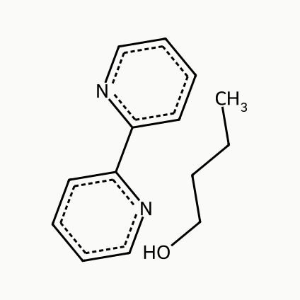 CCCCO.c1ccc(-c2ccccn2)nc1